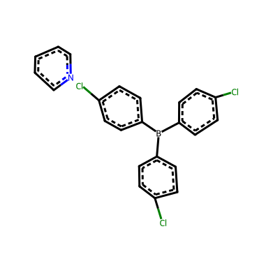 Clc1ccc(B(c2ccc(Cl)cc2)c2ccc(Cl)cc2)cc1.c1ccncc1